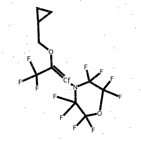 FC(F)(F)[C](OCC1CC1)=[Cf][N]1C(F)(F)C(F)(F)OC(F)(F)C1(F)F